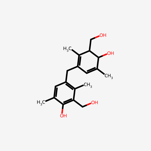 CC1=CC(Cc2cc(C)c(O)c(CO)c2C)=C(C)C(CO)C1O